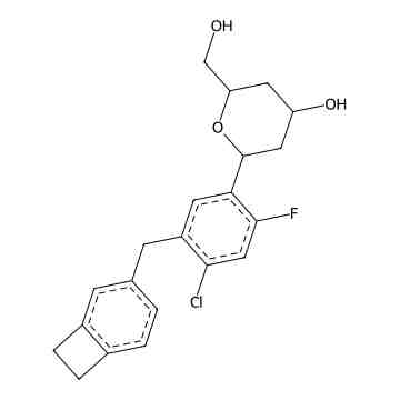 OCC1CC(O)CC(c2cc(Cc3ccc4c(c3)CC4)c(Cl)cc2F)O1